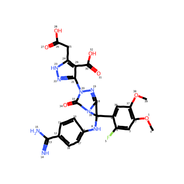 COc1cc(F)c(C2(Nc3ccc(C(=N)N)cc3)c3nn(-c4n[nH]c(CC(=O)O)c4C(=O)O)c(=O)n32)cc1OC